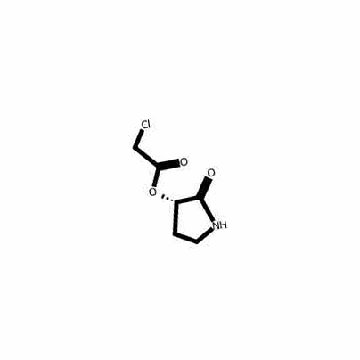 O=C(CCl)O[C@H]1CCNC1=O